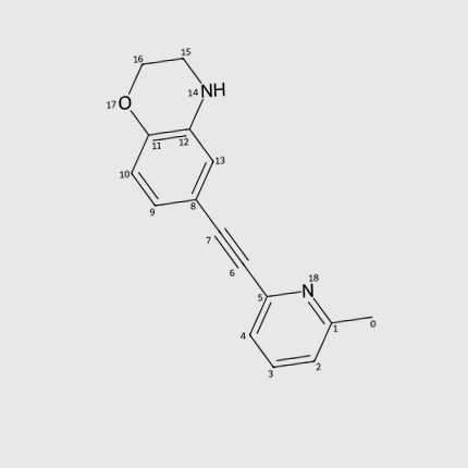 Cc1cccc(C#Cc2ccc3c(c2)NCCO3)n1